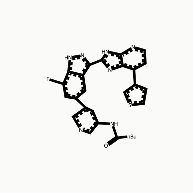 CCCCC(=O)Nc1cncc(-c2cc(F)c3[nH]nc(-c4nc5c(-c6ccsc6)ccnc5[nH]4)c3c2)c1